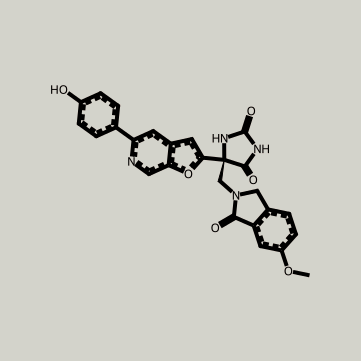 COc1ccc2c(c1)C(=O)N(C[C@@]1(c3cc4cc(-c5ccc(O)cc5)ncc4o3)NC(=O)NC1=O)C2